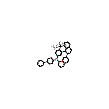 CC1(C)c2ccc(N(c3ccccc3)c3ccc(-c4ccccc4)cc3)cc2-c2c(-c3ccccc3)ccc3cccc1c23